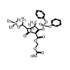 CCCCC(=O)OCOC(=O)C1=C(OP(=O)(Oc2ccccc2)Oc2ccccc2)C(C)[C@@H]2C(C(C)O[Si](CC)(CC)CC)C(=O)N12